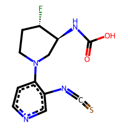 O=C(O)N[C@H]1CN(c2ccncc2N=C=S)CC[C@@H]1F